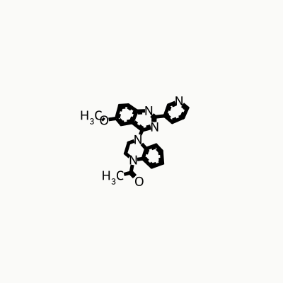 COc1ccc2nc(-c3cccnc3)nc(N3CCN(C(C)=O)c4ccccc43)c2c1